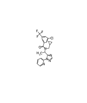 CC(c1ncnn1-c1ccccn1)N(CC1CC1)C(=O)c1cc(Cl)cc(C(F)(F)F)c1